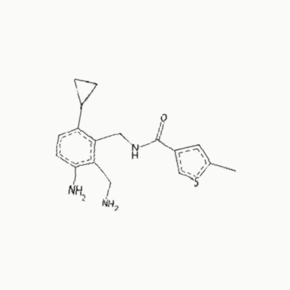 Cc1cc(C(=O)NCc2c(C3CC3)ccc(N)c2CN)cs1